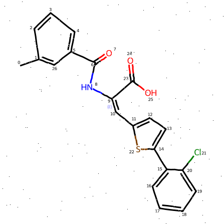 Cc1cccc(C(=O)N/C(=C/c2ccc(-c3ccccc3Cl)s2)C(=O)O)c1